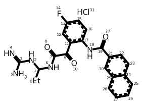 CCC(NC(=N)N)NC(=O)C(=O)c1cc(F)ccc1NC(=O)c1ccc2ccccc2c1.Cl